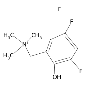 C[N+](C)(C)Cc1cc(F)cc(F)c1O.[I-]